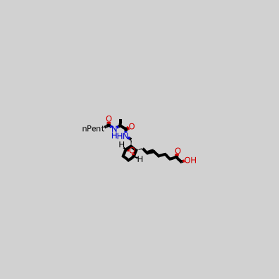 CCCCCC(=O)NC(C)C(=O)NC[C@@H]1[C@H](CC=CCCCC(=O)CO)[C@@H]2CC[C@H]1O2